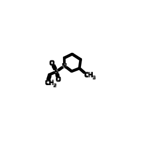 C=CS(=O)(=O)N1CCCC(C)C1